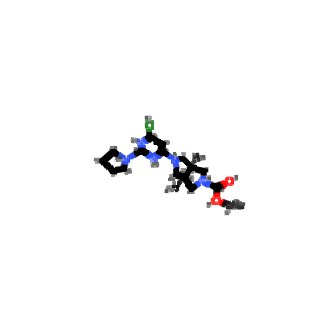 CC(C)(C)OC(=O)N1C[C@@H]2CN(c3cc(Cl)nc(N4CCCC4)n3)C[C@@H]2C1